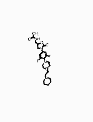 CC(=O)NCC1CN(c2cc(F)c(N3CCN(CCN4CCCCC4)CC3)c(F)c2)C(=O)O1